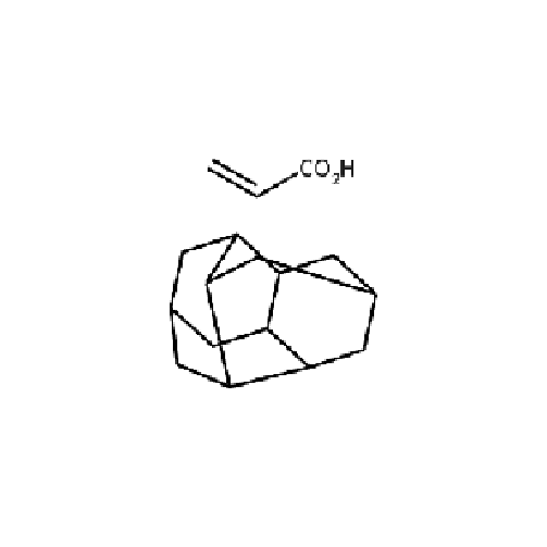 C1C2CC3C4CC5CC(C14)C(C2)C3C5.C=CC(=O)O